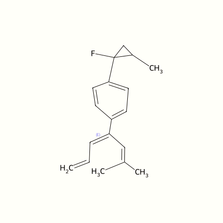 C=C/C=C(\C=C(C)C)c1ccc(C2(F)CC2C)cc1